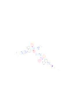 CC(C)N(CCCNCCN1C(=O)c2cccc3c(N4CCN(C)CC4)ccc(c23)C1=O)CCN1C(=O)c2cccc3c(N4CCN(C)CC4)ccc(c23)C1=O